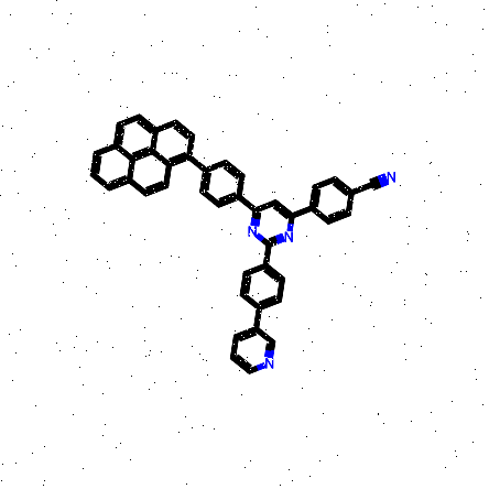 N#Cc1ccc(-c2cc(-c3ccc(-c4ccc5ccc6cccc7ccc4c5c67)cc3)nc(-c3ccc(-c4cccnc4)cc3)n2)cc1